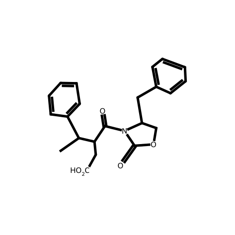 CC(c1ccccc1)C(CC(=O)O)C(=O)N1C(=O)OCC1Cc1ccccc1